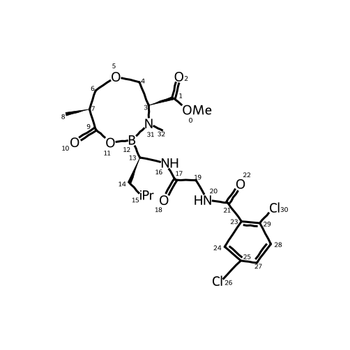 COC(=O)[C@@H]1COC[C@H](C)C(=O)OB([C@H](CC(C)C)NC(=O)CNC(=O)c2cc(Cl)ccc2Cl)N1C